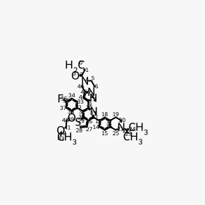 C=CC(=O)N1CCn2nc(-c3nc(-c4ccc5c(c4)CCN(C(C)C)C5)c4ccsc4c3-c3ccc(F)cc3OCCOC)cc2C1